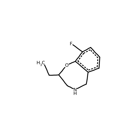 CCC1CNCc2cccc(F)c2O1